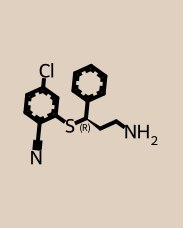 N#Cc1ccc(Cl)cc1S[C@H](CCN)c1ccccc1